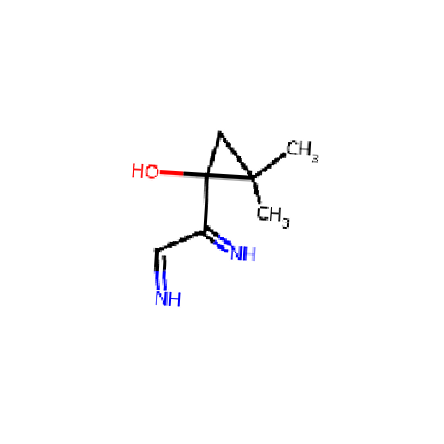 CC1(C)CC1(O)C(=N)C=N